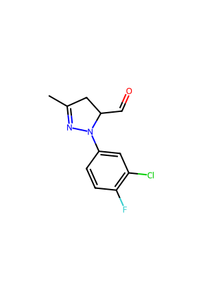 CC1=NN(c2ccc(F)c(Cl)c2)C(C=O)C1